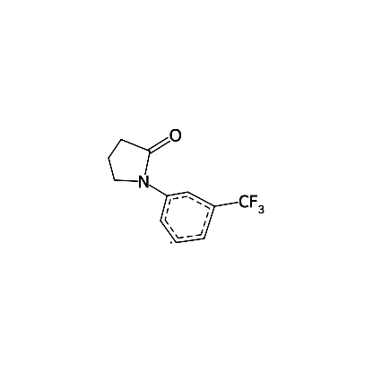 O=C1CCCN1c1c[c]cc(C(F)(F)F)c1